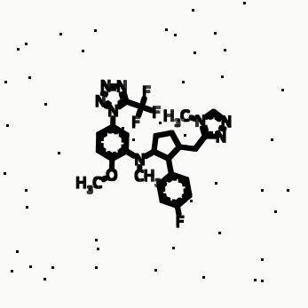 COc1ccc(-n2nnnc2C(F)(F)F)cc1N(C)C1CCC(Cc2nncn2C)C1c1ccc(F)cc1